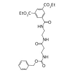 CCOC(=O)c1cc(C(=O)NCCNC(=O)CCNC(=O)OCc2ccccc2)cc(C(=O)OCC)c1